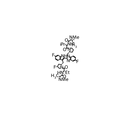 CC[C@H](NC(=O)[C@H](C)NC)C(=O)N1C[C@@H](F)C[C@H]1Cc1c(-c2nc3cc(F)ccc3n2C[C@@H]2CCCN2C(=O)C(NC(=O)[C@H](C)NC)C(C)C)[nH]c2cc(F)ccc12